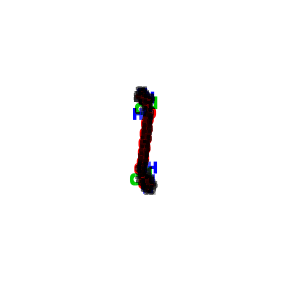 O=C(CCc1cc(Cl)c(Oc2ccncc2C(=O)N2CCN(C3CC3)c3ccccc32)cc1Cl)NCCOCCOCCOCCOCCOCCOCCOCCOCCOCCOCCNC(=O)CCc1cc(Cl)c(Oc2ccncc2C(=O)N2CCN(C3CC3)c3ccccc32)cc1Cl